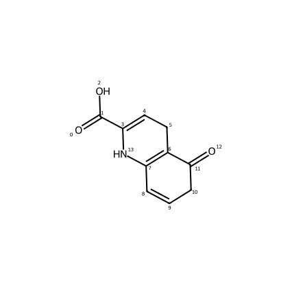 O=C(O)C1=CCC2=C(C=CCC2=O)N1